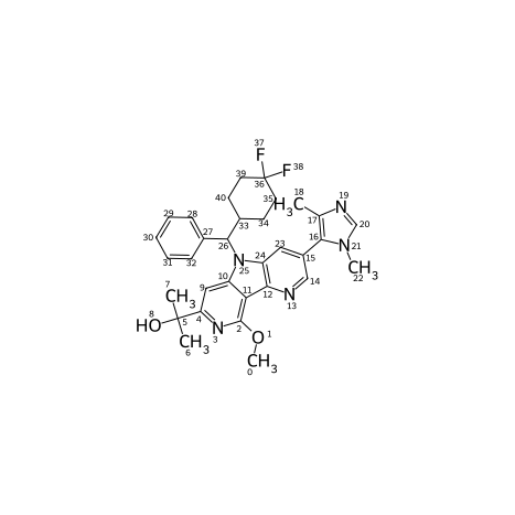 COc1nc(C(C)(C)O)cc2c1c1ncc(-c3c(C)ncn3C)cc1n2C(c1ccccc1)C1CCC(F)(F)CC1